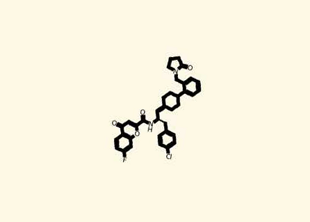 O=C(N[C@@H](C=C1CCC(c2ccccc2CN2CCCC2=O)CC1)Cc1ccc(Cl)cc1)c1cc(=O)c2ccc(F)cc2o1